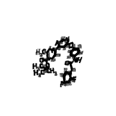 C[C@@H]1CN(c2cc(Oc3ccc(NC(=O)Cc4ccc(F)cc4F)cc3)ncn2)CCN1C(=O)OC(C)(C)C